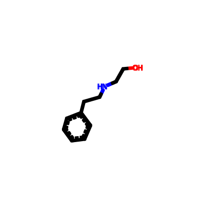 OCCNCCc1ccccc1